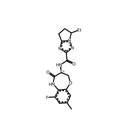 CCC1CCc2nc(C(=O)N[C@H]3COc4cc(C)cc(F)c4NC3=O)nn21